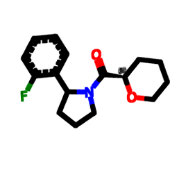 O=C([C@H]1CCCCO1)N1CCCC1c1ccccc1F